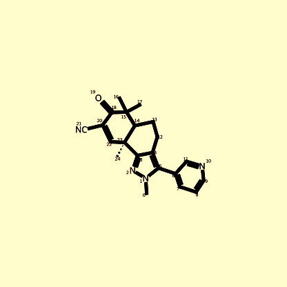 Cn1nc2c(c1-c1cccnc1)CCC1C(C)(C)C(=O)C(C#N)=C[C@]21C